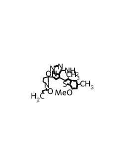 C=CC(=O)N1CCC(O)(c2cc(-c3sc4c(OC)cc(C)cc4c3C)c3c(N)ncnn23)C1